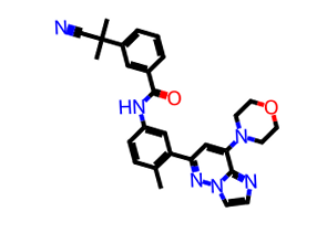 Cc1ccc(NC(=O)c2cccc(C(C)(C)C#N)c2)cc1-c1cc(N2CCOCC2)c2nccn2n1